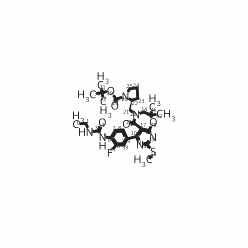 CCNC(=O)Nc1ccc(-c2nc(SC)nc3c2C(=O)N(C[C@@H]2CCCN2C(=O)OC(C)(C)C)CC(C)(C)O3)cc1F